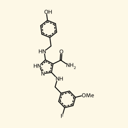 COc1cc(F)cc(CNc2n[nH]c(NCc3ccc(O)cc3)c2C(N)=O)c1